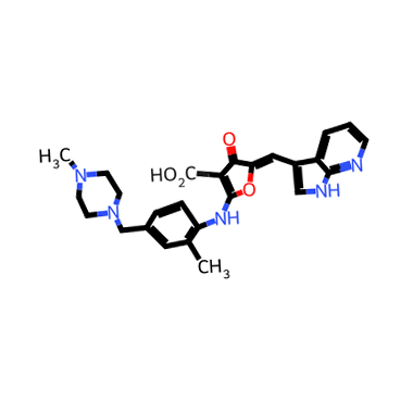 Cc1cc(CN2CCN(C)CC2)ccc1NC1=C(C(=O)O)C(=O)C(=Cc2c[nH]c3ncccc23)O1